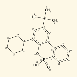 CC(C)(C)c1cc2c(c(C3CCCCC3)c1)OP(=O)(O)c1ccccc1-2